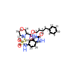 O=C(OCCCCc1ccccc1)C1COCCN1SS(=O)(=O)Nc1ccc2[nH]c(=O)[nH]c2c1